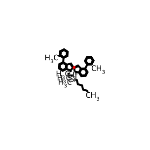 CCCCCC[Si](C)=[Hf]([CH3])([CH3])([CH]1C=Cc2c(-c3ccccc3C)cccc21)[CH]1C=Cc2c(-c3ccccc3C)cccc21